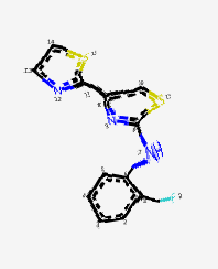 Fc1ccccc1Nc1nc(-c2nccs2)cs1